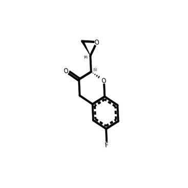 O=C1Cc2cc(F)ccc2O[C@H]1[C@H]1CO1